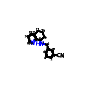 N#Cc1cccc(CNC2CCCc3cccnc32)c1